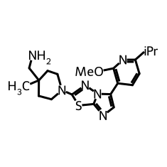 COc1nc(C(C)C)ccc1-c1cnc2sc(N3CCC(C)(CN)CC3)nn12